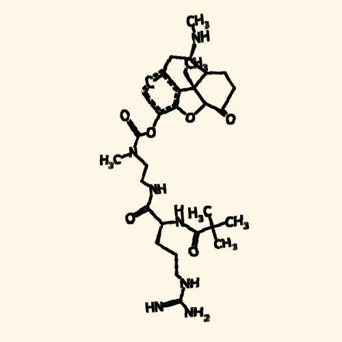 CC[C@]12c3c4ccc(OC(=O)N(C)CCNC(=O)[C@H](CCCNC(=N)N)NC(=O)C(C)(C)C)c3OC1C(=O)CCC2[C@H](NC)C4